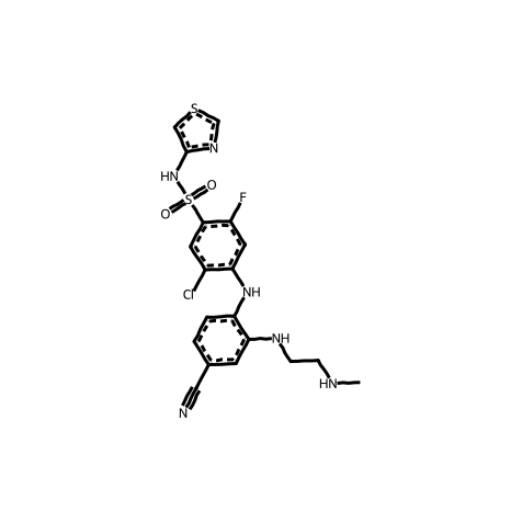 CNCCNc1cc(C#N)ccc1Nc1cc(F)c(S(=O)(=O)Nc2cscn2)cc1Cl